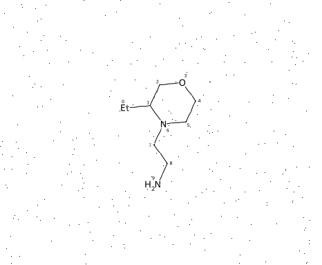 CCC1COCCN1CCN